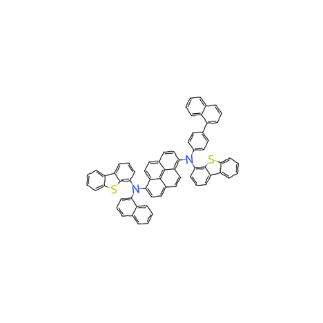 c1ccc2c(-c3ccc(N(c4ccc5ccc6c(N(c7cccc8ccccc78)c7cccc8c7sc7ccccc78)ccc7ccc4c5c76)c4cccc5c4sc4ccccc45)cc3)cccc2c1